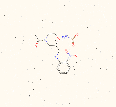 CC(=O)N1CCOC(CNc2ccccc2[N+](=O)[O-])C1.N[SH](=O)=O